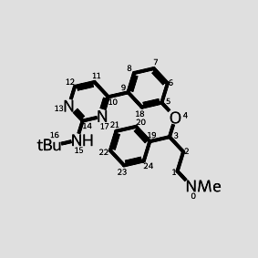 CNCCC(Oc1cccc(-c2ccnc(NC(C)(C)C)n2)c1)c1ccccc1